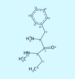 CCC(NC)C(=O)C(N)Cc1ccccc1